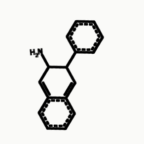 NC1C=c2ccccc2=CC1c1ccccc1